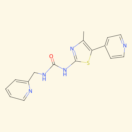 Cc1nc(NC(=O)NCc2ccccn2)sc1-c1ccncc1